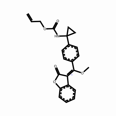 C=CCOC(=O)NC1(c2ccc(/C(OC)=C3\C(=O)Oc4ccccc43)cc2)CC1